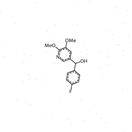 COc1cc(C(O)c2ccc(F)cc2)cnc1OC